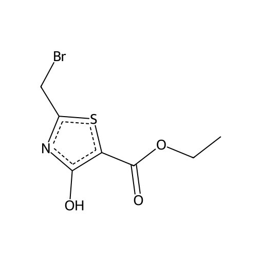 CCOC(=O)c1sc(CBr)nc1O